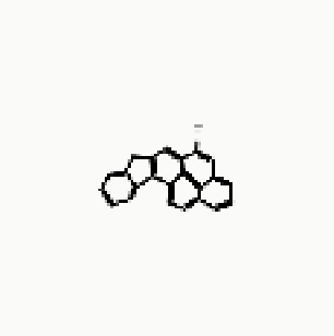 Fc1cc2cccc3ccc4c5c(cc1c4c32)Cc1ccccc1-5